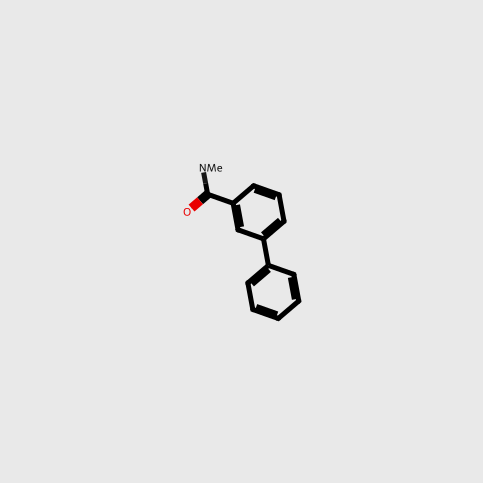 CNC(=O)c1cccc(-c2ccccc2)c1